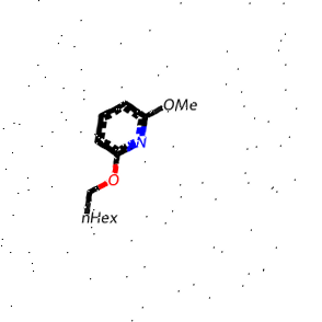 CCCCCCCOc1cccc(OC)n1